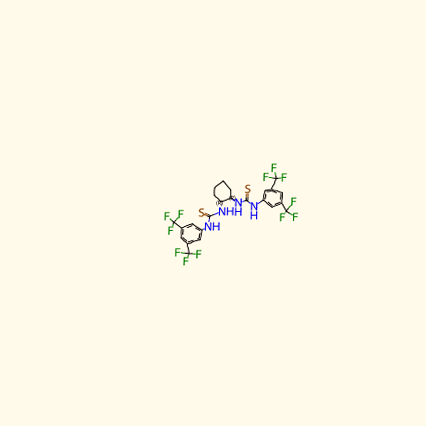 FC(F)(F)c1cc(NC(=S)N[C@@H]2CCCC[C@H]2NC(=S)Nc2cc(C(F)(F)F)cc(C(F)(F)F)c2)cc(C(F)(F)F)c1